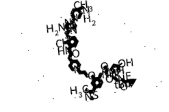 Cc1ncsc1-c1ccc(CNC(=O)[C@@H]2C[C@@H](O)CN2C(=O)[C@@H](NC(=O)C2(F)CC2)C(C)(C)C)c(OCCCN2CCC(CC(=O)Nc3cccc(Sc4ncc(N5CCC(C)(CN)CC5)nc4N)c3Cl)CC2)c1